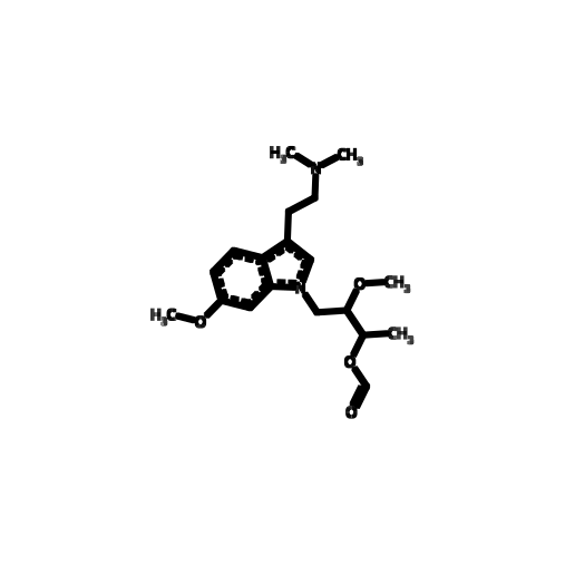 COc1ccc2c(CCN(C)C)cn(CC(OC)C(C)OC=O)c2c1